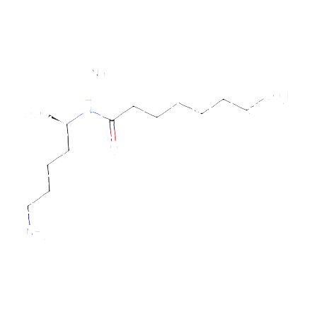 NCCCC[C@H](NC(=O)CCCCCCC(=O)O)C(=O)[O-].[Na+]